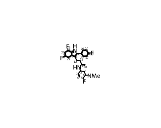 C=CC(CC(CF)NC)NC(=C)CCc1c(-c2ccc(F)cc2)[nH]c2c(F)cc(F)cc12